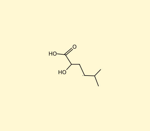 CC(C)[CH]CC(O)C(=O)O